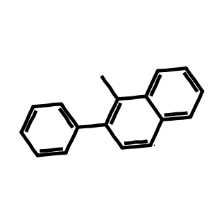 Cc1c(-c2ccccc2)c[c]c2ccccc12